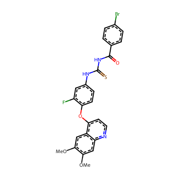 COc1cc2nccc(Oc3ccc(NC(=S)NC(=O)c4ccc(Br)cc4)cc3F)c2cc1OC